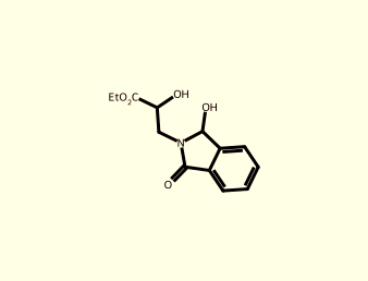 CCOC(=O)C(O)CN1C(=O)c2ccccc2C1O